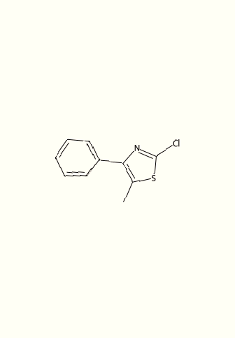 Cc1sc(Cl)nc1-c1ccccc1